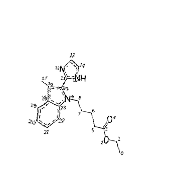 CCOC(=O)CCCCn1c(-c2ncc[nH]2)c(C)c2ccccc21